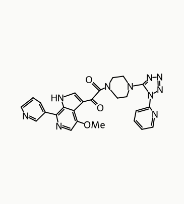 COc1cnc(-c2cccnc2)c2[nH]cc(C(=O)C(=O)N3CCN(c4nnnn4-c4ccccn4)CC3)c12